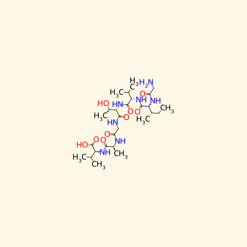 CC[C@H](C)[C@H](NC(=O)CN)C(=O)N[C@H](C(=O)N[C@H](C(=O)NCC(=O)N[C@@H](C)C(=O)N[C@H](C(=O)O)C(C)C)[C@@H](C)O)C(C)C